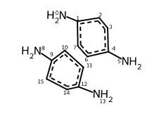 Nc1ccc(N)cc1.Nc1ccc(N)cc1